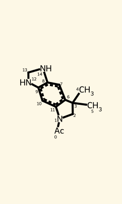 CC(=O)N1CC(C)(C)c2cc3c(cc21)NCN3